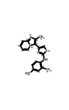 Cc1ccc(Nc2nc(-c3c(C)nc4ccccn34)cs2)c(C)c1